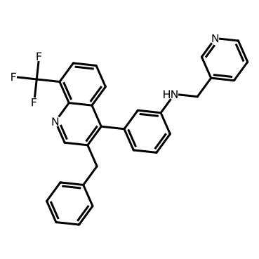 FC(F)(F)c1cccc2c(-c3cccc(NCc4cccnc4)c3)c(Cc3ccccc3)cnc12